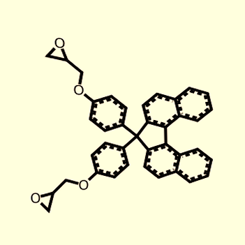 c1ccc2c3c(ccc2c1)C(c1ccc(OCC2CO2)cc1)(c1ccc(OCC2CO2)cc1)c1ccc2ccccc2c1-3